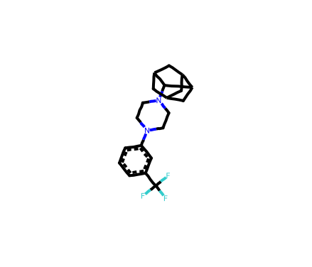 FC(F)(F)c1cccc(N2CCN(C3C4CC5CC(C4)C3C5)CC2)c1